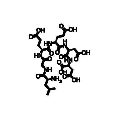 CC(C)C[C@H](N)C(=O)NCC(=O)N[C@@H](CCC(=O)O)C(=O)N[C@@H](CCC(=O)O)C(=O)N[C@@H](CC(=O)O)C(=O)N[C@@H](CC(=O)O)C(=O)O